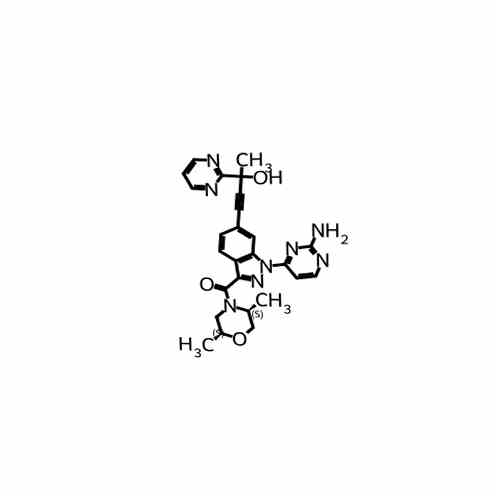 C[C@H]1CN(C(=O)c2nn(-c3ccnc(N)n3)c3cc(C#CC(C)(O)c4ncccn4)ccc23)[C@@H](C)CO1